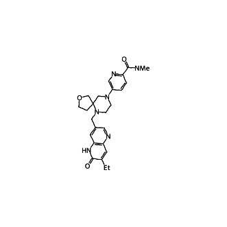 CCc1cc2ncc(CN3CCN(c4ccc(C(=O)NC)nc4)CC34CCOC4)cc2[nH]c1=O